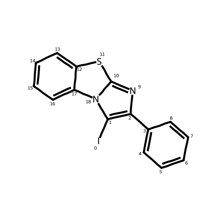 Ic1c(-c2ccccc2)nc2sc3ccccc3n12